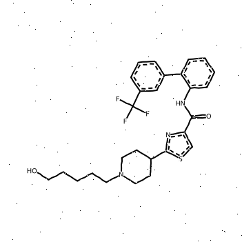 O=C(Nc1ccccc1-c1cccc(C(F)(F)F)c1)c1csc(C2CCN(CCCCCO)CC2)n1